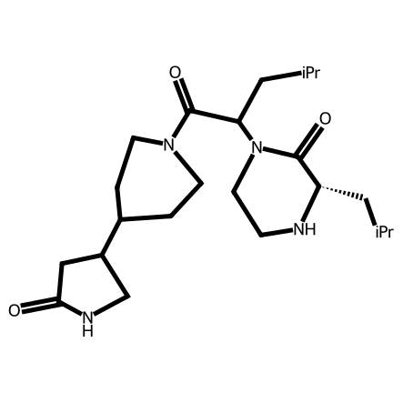 CC(C)CC(C(=O)N1CCC(C2CNC(=O)C2)CC1)N1CCN[C@@H](CC(C)C)C1=O